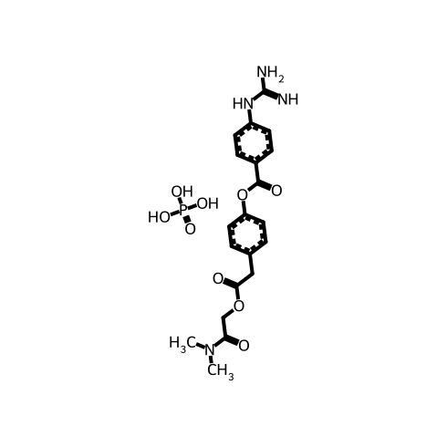 CN(C)C(=O)COC(=O)Cc1ccc(OC(=O)c2ccc(NC(=N)N)cc2)cc1.O=P(O)(O)O